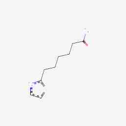 NC(=O)CCCCCc1nccs1